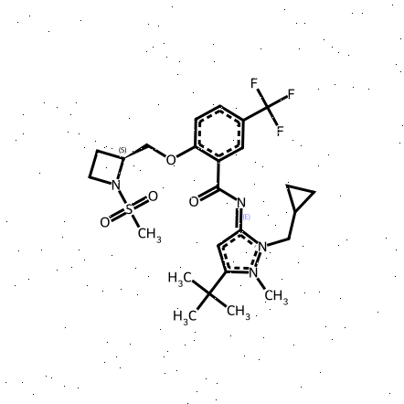 Cn1c(C(C)(C)C)c/c(=N\C(=O)c2cc(C(F)(F)F)ccc2OC[C@@H]2CCN2S(C)(=O)=O)n1CC1CC1